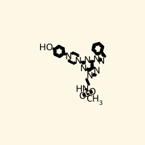 CS(=O)(=O)NCCn1cnc2c(-n3ncc4ccccc43)nc(N3CCN(c4ccc(O)cc4)CC3)nc21